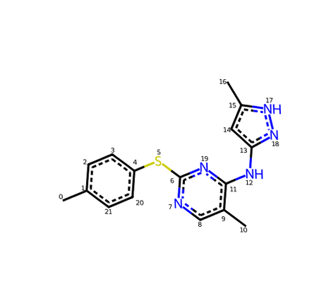 Cc1ccc(Sc2ncc(C)c(Nc3cc(C)[nH]n3)n2)cc1